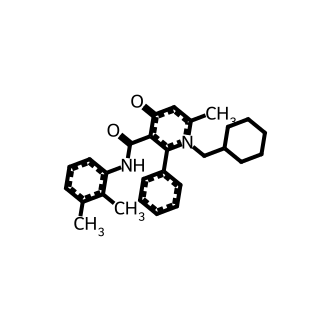 Cc1cccc(NC(=O)c2c(-c3ccccc3)n(CC3CCCCC3)c(C)cc2=O)c1C